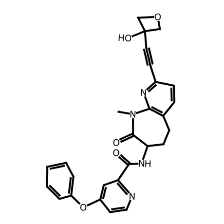 CN1C(=O)C(NC(=O)c2cc(Oc3ccccc3)ccn2)CCc2ccc(C#CC3(O)COC3)nc21